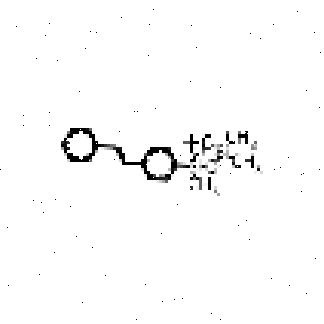 C[Si](C)(C)O[Si](C)(C)c1ccc(/C=C/c2ccccc2)cc1